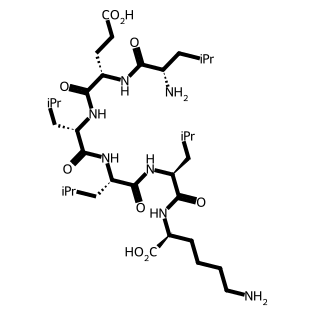 CC(C)C[C@H](NC(=O)[C@H](CC(C)C)NC(=O)[C@H](CC(C)C)NC(=O)[C@H](CCC(=O)O)NC(=O)[C@@H](N)CC(C)C)C(=O)N[C@@H](CCCCN)C(=O)O